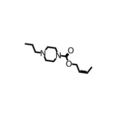 C/C=C\COC(=O)N1CCN(CCC)CC1